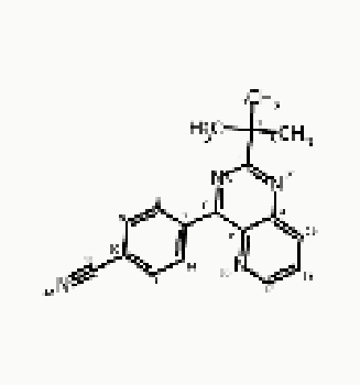 CC(C)(C)c1nc(-c2ccc(C#N)cc2)c2ncccc2n1